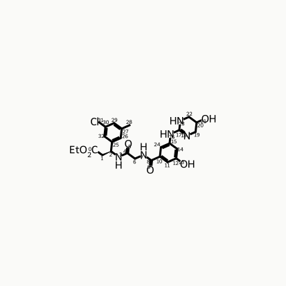 CCOC(=O)C[C@H](NC(=O)CNC(=O)c1cc(O)cc(NC2=NCC(O)CN2)c1)c1cc(C)cc(Cl)c1